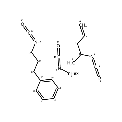 C=CCC(C)N=C=O.CCCCCCN=C=O.O=C=NCCCc1ccccc1